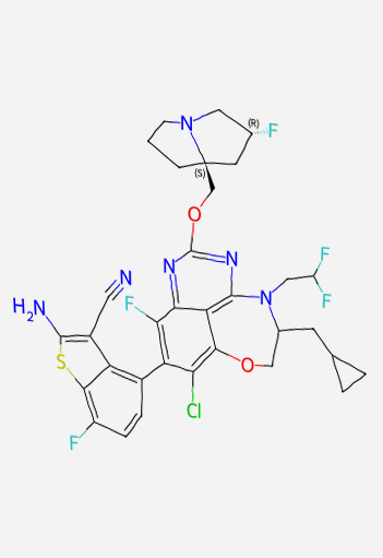 N#Cc1c(N)sc2c(F)ccc(-c3c(Cl)c4c5c(nc(OC[C@@]67CCCN6C[C@H](F)C7)nc5c3F)N(CC(F)F)C(CC3CC3)CO4)c12